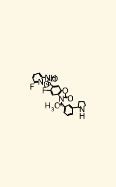 C[C@H](c1cccc(C2CCCN2)c1)n1c(=O)oc2cc(S(=O)(=O)Nc3cccc(F)n3)c(F)cc21